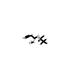 CC(C)(C)[Si](C)(C)O[C@H](CCl)CC#N